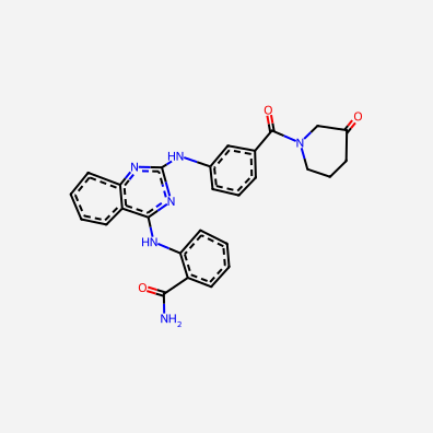 NC(=O)c1ccccc1Nc1nc(Nc2cccc(C(=O)N3CCCC(=O)C3)c2)nc2ccccc12